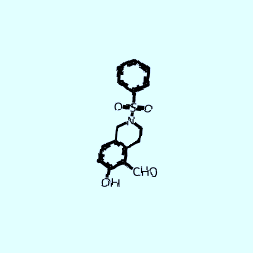 O=Cc1c(O)ccc2c1CCN(S(=O)(=O)c1ccccc1)C2